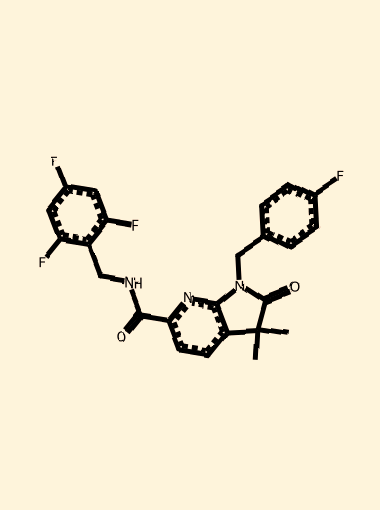 CC1(C)C(=O)N(Cc2ccc(F)cc2)c2nc(C(=O)NCc3c(F)cc(F)cc3F)ccc21